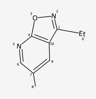 CCc1noc2ncc(C)cc12